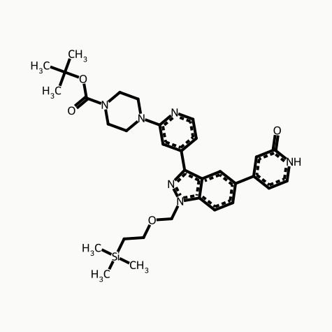 CC(C)(C)OC(=O)N1CCN(c2cc(-c3nn(COCC[Si](C)(C)C)c4ccc(-c5cc[nH]c(=O)c5)cc34)ccn2)CC1